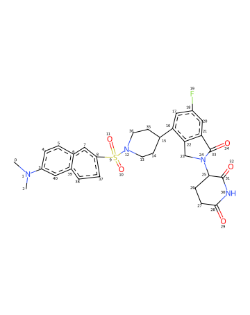 CN(C)c1ccc2cc(S(=O)(=O)N3CCC(c4cc(F)cc5c4CN(C4CCC(=O)NC4=O)C5=O)CC3)ccc2c1